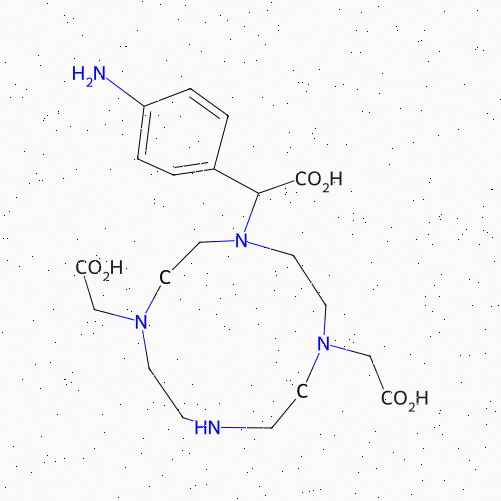 Nc1ccc(C(C(=O)O)N2CCN(CC(=O)O)CCNCCN(CC(=O)O)CC2)cc1